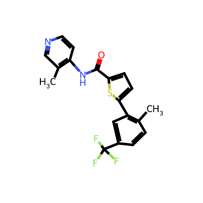 Cc1cnccc1NC(=O)c1ccc(-c2cc(C(F)(F)F)ccc2C)s1